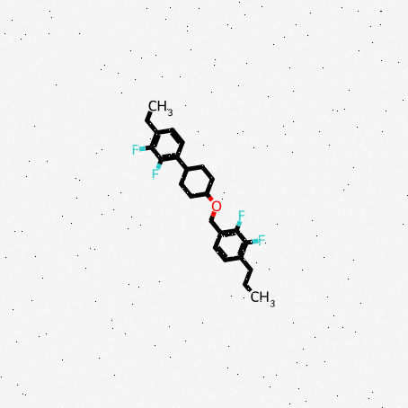 CCCc1ccc(COC2CCC(c3ccc(CC)c(F)c3F)CC2)c(F)c1F